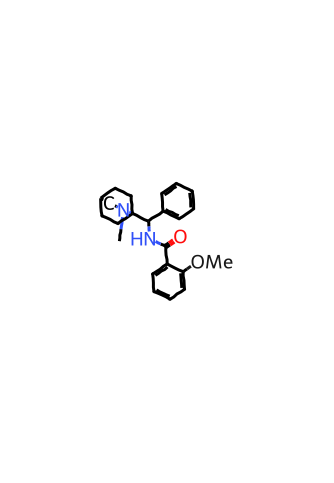 COc1ccccc1C(=O)NC(c1ccccc1)C12CCC(CC1)CN2C